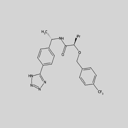 CC(C)[C@@H](OCc1ccc(C(F)(F)F)cc1)C(=O)N[C@@H](C)c1ccc(-c2nnn[nH]2)cc1